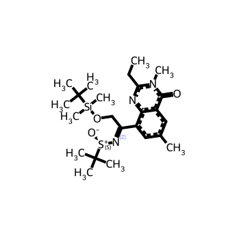 CCc1nc2c(/C(CO[Si](C)(C)C(C)(C)C)=N/[S@+]([O-])C(C)(C)C)cc(C)cc2c(=O)n1C